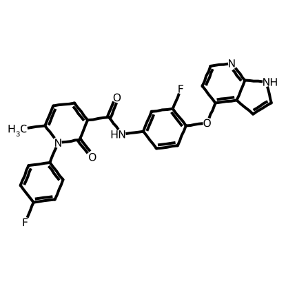 Cc1ccc(C(=O)Nc2ccc(Oc3ccnc4[nH]ccc34)c(F)c2)c(=O)n1-c1ccc(F)cc1